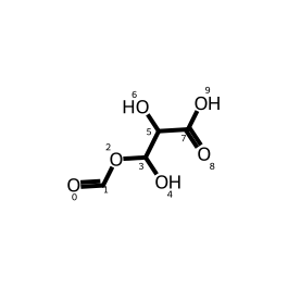 O=COC(O)C(O)C(=O)O